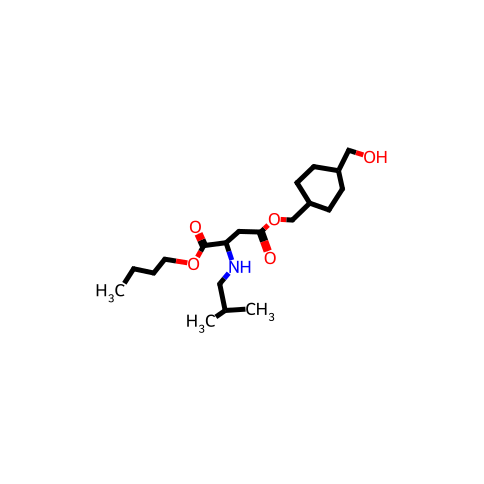 CCCCOC(=O)C(CC(=O)OCC1CCC(CO)CC1)NCC(C)C